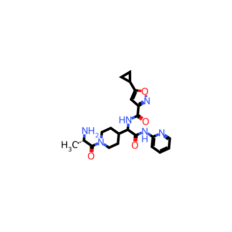 C[C@H](N)C(=O)N1CCC(C(NC(=O)c2cc(C3CC3)on2)C(=O)Nc2ccccn2)CC1